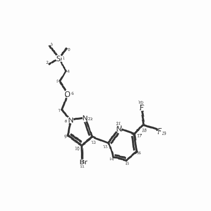 C[Si](C)(C)CCOCn1cc(Br)c(-c2cccc(C(F)F)n2)n1